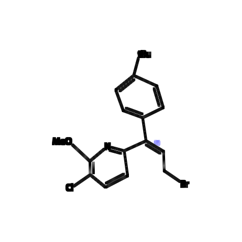 COc1nc(/C(=C\CBr)c2ccc(C(C)(C)C)cc2)ccc1Cl